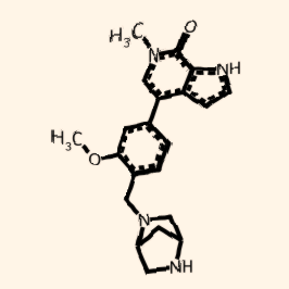 COc1cc(-c2cn(C)c(=O)c3[nH]ccc23)ccc1CN1CC2CC1CN2